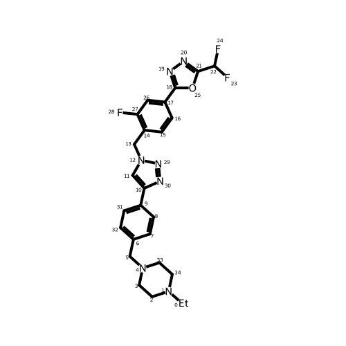 CCN1CCN(Cc2ccc(-c3cn(Cc4ccc(-c5nnc(C(F)F)o5)cc4F)nn3)cc2)CC1